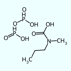 CCCN(C)C(=O)O.O=[PH](O)O[PH](=O)O